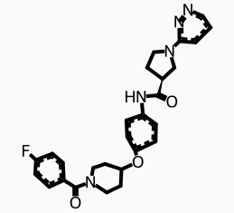 O=C(Nc1ccc(OC2CCN(C(=O)c3ccc(F)cc3)CC2)cc1)[C@H]1CCN(c2cccnn2)C1